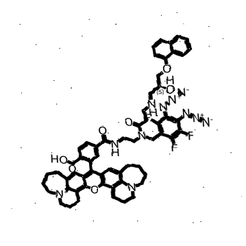 [N-]=[N+]=Nc1c(F)c(F)c(CN(CCNC(=O)c2ccc(C(=O)O)c(C3=c4cc5c6c(c4Oc4c3cc3c7c4CCCN7CCCC3)CCC[N+]=6CCCC5)c2)C(=O)CCNC[C@H](O)COc2cccc3ccccc23)c(F)c1N=[N+]=[N-]